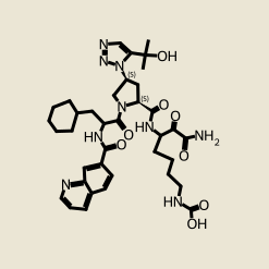 CC(C)(O)c1cnnn1[C@H]1C[C@@H](C(=O)NC(CCCCNC(=O)O)C(=O)C(N)=O)N(C(=O)C(CC2CCCCC2)NC(=O)c2ccc3cccnc3c2)C1